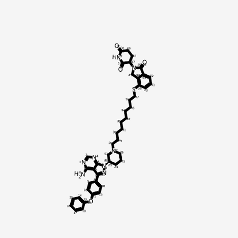 Nc1ncnc2c1c(-c1ccc(Oc3ccccc3)cc1)nn2[C@@H]1CCCN(CCCCCCCCCCSc2cccc3c2CN(C2CCC(=O)NC2=O)C3=O)C1